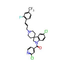 O=C(c1ccnc(Cl)c1)N1CC2(CCN(C/C=C/c3ccc(C(F)(F)F)cc3F)CC2)c2cc(Cl)ccc21